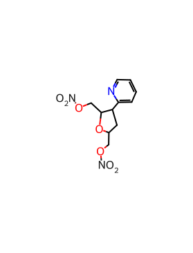 O=[N+]([O-])OCC1CC(c2ccccn2)C(CO[N+](=O)[O-])O1